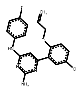 C=CCOc1ccc(Cl)cc1-c1cc(Nc2ccc(Cl)cc2)nc(N)n1